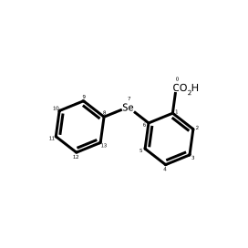 O=C(O)c1ccccc1[Se]c1ccccc1